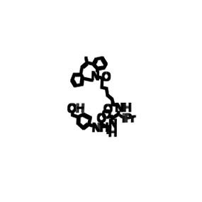 C/C1=C/c2ccccc2CN(C(=O)CCCCC(=O)N[C@H](C(=O)N[C@@H](C)C(=O)Nc2ccc(CO)cc2)C(C)C)c2ccccc21